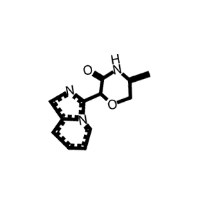 C=C1COC(c2ncc3ccccn23)C(=O)N1